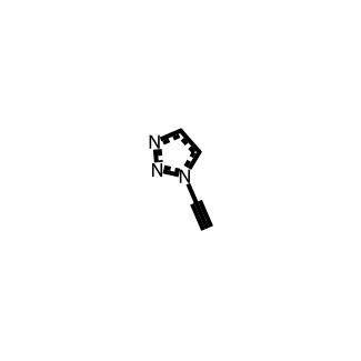 C#Cn1ccnn1